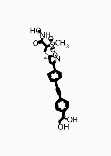 CS(=O)(=O)C(C[C@H]1CC(c2ccc(C#Cc3ccc([C@@H](O)CO)cc3)cc2)=NO1)C(=O)NO